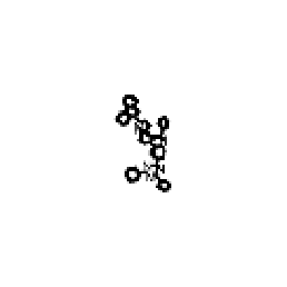 c1ccc(-c2nc(-c3ccccc3)nc(-c3ccc4nc(-c5ccccc5)c5c6ccc(-c7cc8ccccc8c8ccccc78)nc6ccc5c4c3)n2)cc1